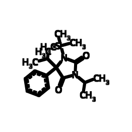 CC(C)N1C(=O)N([Si](C)(C)C)C(c2ccccc2)(C(C)C)C1=O